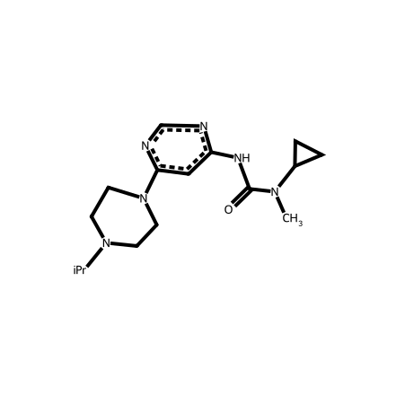 CC(C)N1CCN(c2cc(NC(=O)N(C)C3CC3)ncn2)CC1